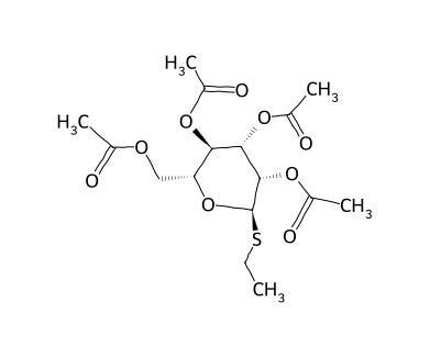 CCS[C@H]1O[C@H](COC(C)=O)[C@@H](OC(C)=O)[C@H](OC(C)=O)[C@@H]1OC(C)=O